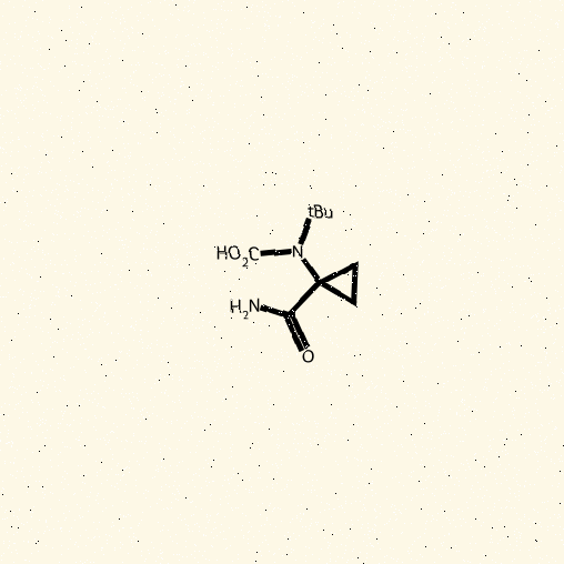 CC(C)(C)N(C(=O)O)C1(C(N)=O)CC1